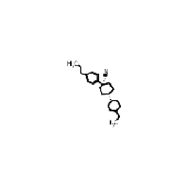 CCCc1ccc([C@]2(C#N)CC[C@@H](C3CCC(CC)CC3)CC2)cc1